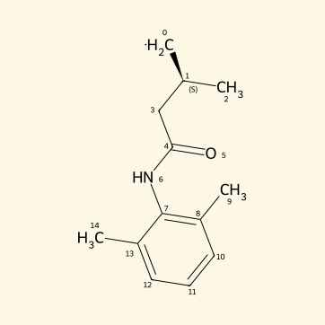 [CH2][C@@H](C)CC(=O)Nc1c(C)cccc1C